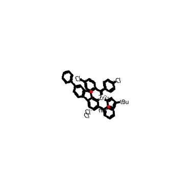 CCCC1C=C(C(C)(C)C)C=[C]1[Zr+2](=[C](c1ccc(Cl)cc1)c1ccc(Cl)cc1)[c]1c(-c2ccccc2)ccc2c1Cc1cc(-c3ccccc3)ccc1-2.[Cl-].[Cl-]